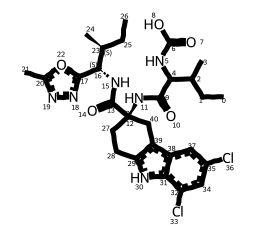 CCC(C)C(NC(=O)O)C(=O)N[C@]1(C(=O)N[C@H](c2nnc(C)o2)[C@@H](C)CC)CCc2[nH]c3c(Cl)cc(Cl)cc3c2C1